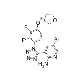 Nc1ncc(Br)cc1-c1nnnn1-c1ccc(O[C@@H]2CCOC2)c(F)c1F